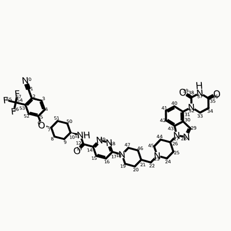 N#Cc1ccc(O[C@H]2CC[C@H](NC(=O)c3ccc(N4CCC(CN5CCC(n6ncc7c(N8CCC(=O)NC8=O)cccc76)CC5)CC4)nn3)CC2)cc1C(F)(F)F